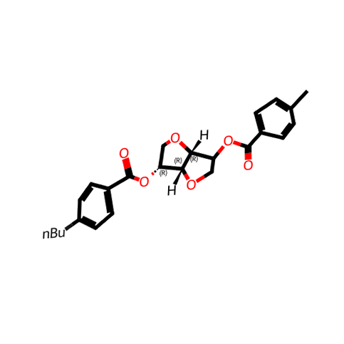 CCCCc1ccc(C(=O)O[C@@H]2CO[C@@H]3C(OC(=O)c4ccc(C)cc4)CO[C@@H]32)cc1